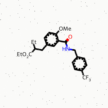 CCOC(=O)C(CC)Cc1ccc(OC)c(C(=O)NCc2ccc(C(F)(F)F)cc2)c1